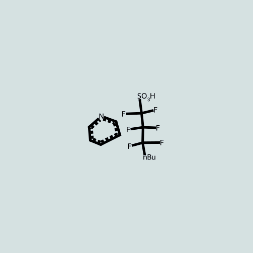 CCCCC(F)(F)C(F)(F)C(F)(F)S(=O)(=O)O.c1ccncc1